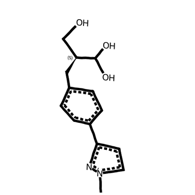 Cn1ccc(-c2ccc(C[C@@H](CO)C(O)O)cc2)n1